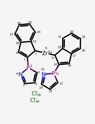 C1=C(p2cccn2)[CH]([Zr+2][CH]2C(p3cccn3)=Cc3ccccc32)c2ccccc21.[Cl-].[Cl-]